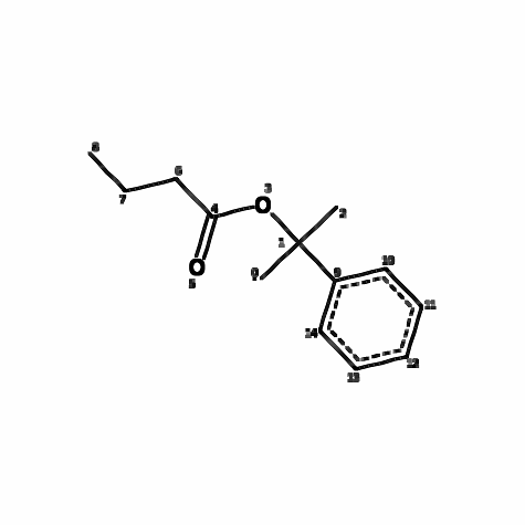 [CH2]C(C)(OC(=O)CCC)c1ccccc1